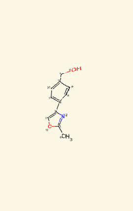 Cc1nc(-c2ccc(CO)cc2)co1